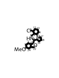 COc1ccc2c(C3NCc4c(Cl)cccc4-n4cccc43)occ2c1